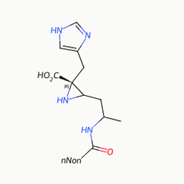 CCCCCCCCCC(=O)NC(C)CC1N[C@@]1(Cc1c[nH]cn1)C(=O)O